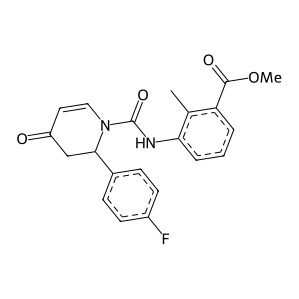 COC(=O)c1cccc(NC(=O)N2C=CC(=O)CC2c2ccc(F)cc2)c1C